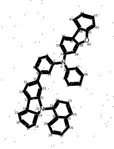 c1ccc(N(c2cccc(-c3ccc4c5ccccc5n(-c5cccc6ccccc56)c4c3)c2)c2ccc3c(c2)oc2ccccc23)cc1